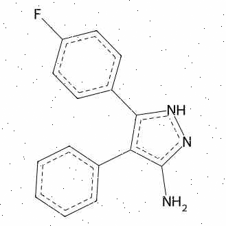 Nc1n[nH]c(-c2ccc(F)cc2)c1-c1ccccc1